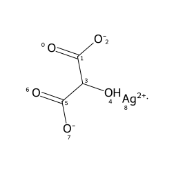 O=C([O-])C(O)C(=O)[O-].[Ag+2]